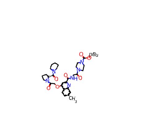 CCCCOC(=O)N1CCN(C(=O)CNC(=O)c2cc(OCC(=O)N3CCC[C@H]3C(=O)N3CCCCC3)c3ccc(C)cc3n2)CC1